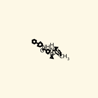 CN1CCN(C2(C(=O)Nc3cc(C(=O)Nc4ccc(-c5ccccc5)cc4)ccc3OC3CC3)CC2)CC1